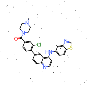 CN1CCN(C(=O)c2ccc(-c3ccc4nccc(Nc5ccc6scnc6c5)c4c3)c(Cl)c2)CC1